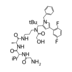 CC(C)C(NC(=O)CN)C(=O)N[C@@H](C)C(=O)NCCCN(C(=O)CO)[C@@H](c1cc(-c2cc(F)ccc2F)cn1Cc1ccccc1)C(C)(C)C